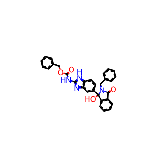 O=C(Nc1nc2cc(C3(O)c4ccccc4C(=O)N3Cc3ccccc3)ccc2[nH]1)OCc1ccccc1